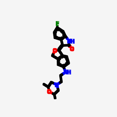 CC1CN(CCNc2ccc3c(c2)COC3=C2C(=O)Nc3cc(F)ccc32)CC(C)O1